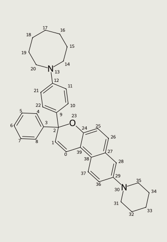 C1=CC(c2ccccc2)(c2ccc(N3CCCCCCC3)cc2)Oc2ccc3cc(N4CCCCC4)ccc3c21